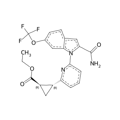 CCOC(=O)[C@@H]1C[C@H]1c1cccc(-n2c(C(N)=O)cc3ccc(OC(F)(F)F)cc32)n1